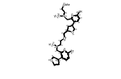 CCc1ccc([C@H]2CCOC2)c(CN(C)CCOCC2CC(c3ccc(C(C)C)nc3CN(C)CCOC)CO2)n1